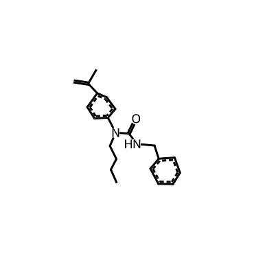 C=C(C)c1ccc(N(CCCC)C(=O)NCc2ccccc2)cc1